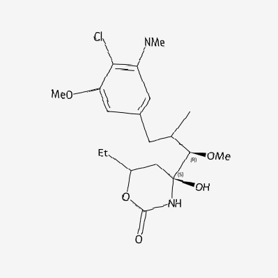 CCC1C[C@](O)([C@H](OC)C(C)Cc2cc(NC)c(Cl)c(OC)c2)NC(=O)O1